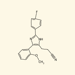 COc1ccccc1-c1nc(-c2ccc(F)cc2)[nH]c1CCC#N